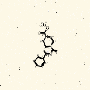 C=C(/N=C(\C)c1ccccc1)N1CCN(C(=O)OC(C)(C)C)CC1